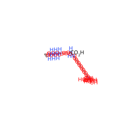 O=C(CCOCCOCCOCCOCCOCCOCCOCCOCCOCCOCCOCCOCCN(C[C@H](O)[C@@H](O)[C@H](O)[C@H](O)CO)C[C@H](O)[C@@H](O)[C@H](O)[C@H](O)CO)NCCCC[C@H](NC(=O)CCOCCOCCOCCOCCNC(=O)CNC(=O)CNC(=O)CNC(=O)CNC(=O)CNC(=O)OCC1c2ccccc2-c2ccccc21)C(=O)O